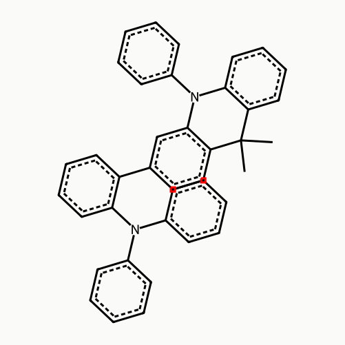 CC1(C)c2ccccc2N(c2ccccc2)c2cc(-c3ccccc3N(c3ccccc3)c3ccccc3)ccc21